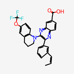 C/C=C\c1cccc(-c2nc3ccc(C(=O)O)cc3nc2N2CCCc3cc(OC(F)(F)F)ccc32)c1